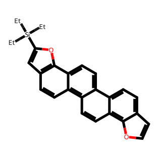 CC[Si](CC)(CC)c1cc2ccc3c4ccc5c(ccc6ccoc65)c4ccc3c2o1